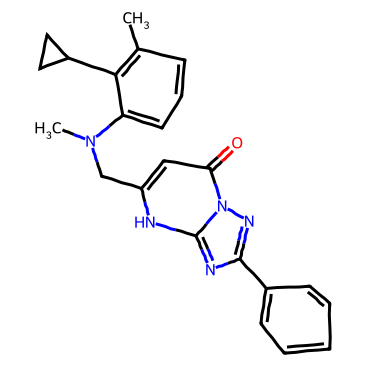 Cc1cccc(N(C)Cc2cc(=O)n3nc(-c4ccccc4)nc3[nH]2)c1C1CC1